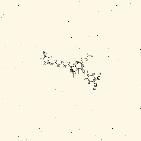 CCCCc1nc(NCc2ccc(OC)c(OC)c2)c2[nH]nc(CCCCCCN3CC[C@H](F)C3)c2n1